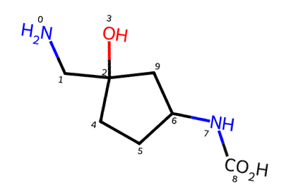 NCC1(O)CCC(NC(=O)O)C1